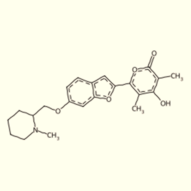 Cc1c(-c2cc3ccc(OCC4CCCCN4C)cc3o2)oc(=O)c(C)c1O